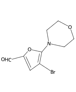 O=Cc1cc(Br)c(N2CCOCC2)o1